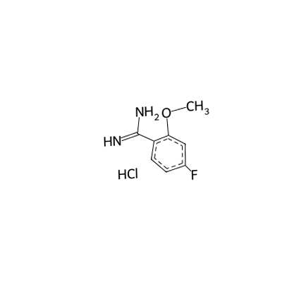 COc1cc(F)ccc1C(=N)N.Cl